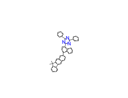 CC1(C)c2ccccc2-c2cc3ccc(-c4ccc(-c5nc(-c6ccccc6)nc(-c6ccccc6)n5)c5ccccc45)cc3cc21